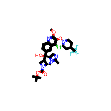 COc1nc2ccc(C(O)(c3cnc(C)n3C)C3CN(C(=O)OC(C)(C)C)C3)cc2c(Cl)c1ON1CCC(C(F)(F)F)CC1